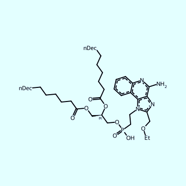 CCCCCCCCCCCCCCCC(=O)OC[C@H](COP(=O)(O)CCn1c(COCC)nc2c(N)nc3ccccc3c21)OC(=O)CCCCCCCCCCCCCCC